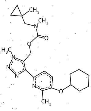 Cc1nc(-c2nnn(C)c2COC(=O)N(C)CC2(C)CC2)ccc1OC1CCCCC1